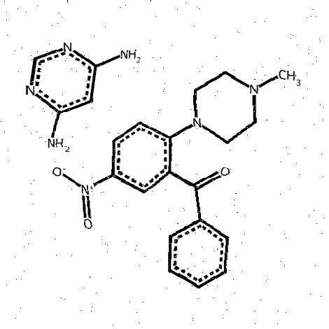 CN1CCN(c2ccc([N+](=O)[O-])cc2C(=O)c2ccccc2)CC1.Nc1cc(N)ncn1